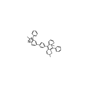 Cc1nc2ccc(-c3ccc(C4=C5C=CC(C)CC5=C(c5ccccc5)C5(C)CC=CC=C45)cc3)cc2n1-c1ccccc1